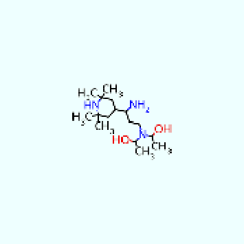 CC(O)N(CCC(N)C1CC(C)(C)NC(C)(C)C1)C(C)O